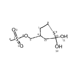 CS(=O)(=O)OCC1CCSC(O)(O)C1